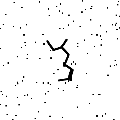 CCC(C)CS/C=N\C